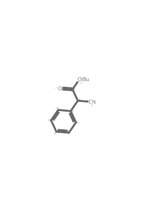 CC(C)COC(=O)C(C#N)c1ccccc1